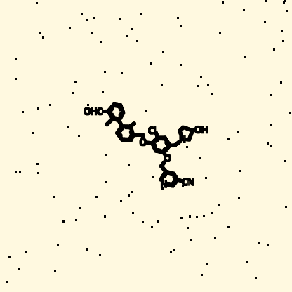 Cc1c(C=O)cccc1-c1cccc(COc2cc(OCc3cncc(C#N)c3)c(CN3CCC(O)C3)cc2Cl)c1C